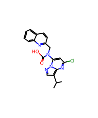 CC(C)c1cnn2c(N(Cc3ccc4ccccc4n3)C(=O)O)cc(Cl)nc12